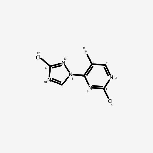 Fc1cnc(Cl)nc1-n1cnc(Cl)n1